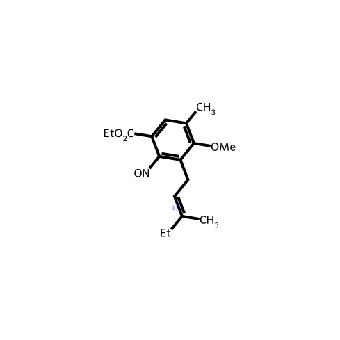 CCOC(=O)c1cc(C)c(OC)c(C/C=C(\C)CC)c1N=O